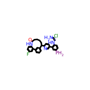 N/C(Cl)=C\Nc1ccc(P)cc1-c1ccc(C2CCCCC(=O)Nc3ccc(F)cc3-c3cccc2c3)nc1